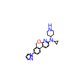 c1cnn(-c2ccc3c(c2)COc2nc(N(C4CCNCC4)C4CC4)ccc2-3)c1